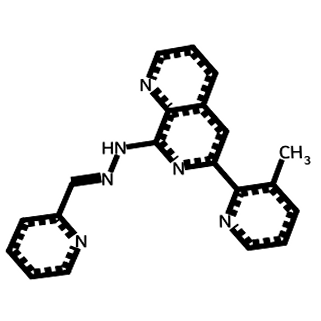 Cc1cccnc1-c1cc2cccnc2c(N/N=C/c2ccccn2)n1